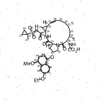 CCOc1ccc2c(O[C@@H]3C[C@H]4C(=O)N[C@]5(C(=O)NS(=O)(=O)C6(C)CC6)C[C@H]5/C=C\CC[C@H](C)C[C@@H](C)[C@H](NC(=O)O)C(=O)N4C3)ncc(OC)c2c1